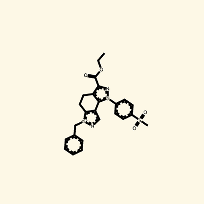 CCOC(=O)c1nn(-c2ccc(S(C)(=O)=O)cc2)c2c1CCc1c-2cnn1Cc1ccccc1